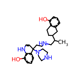 CC(CNCCC1(N2CCNCC2)C=CNc2c(O)cccc21)C1CCc2c(O)cccc2C1